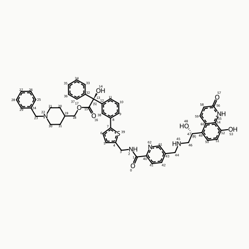 O=C(NCc1ccc(-c2cccc([C@](O)(C(=O)OCC3CCN(Cc4ccccc4)CC3)c3ccccc3)c2)s1)c1ccc(CNC[C@H](O)c2ccc(O)c3[nH]c(=O)ccc23)cn1